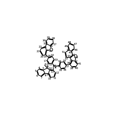 CC1(C)c2ccccc2-c2cccc(N(c3ccc(-c4cccc5c4oc4ccccc45)cc3)c3ccc(-c4cccc5oc6c7ccccc7ccc6c45)cc3)c21